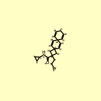 O=C(NC1CC1)C1(CCBr)CC2(C=CC3(C=CCC=C3)C=C2)C1